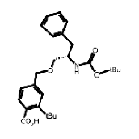 CC(C)(C)OC(=O)N[C@H](COCc1ccc(C(=O)O)c(C(C)(C)C)c1)Cc1ccccc1